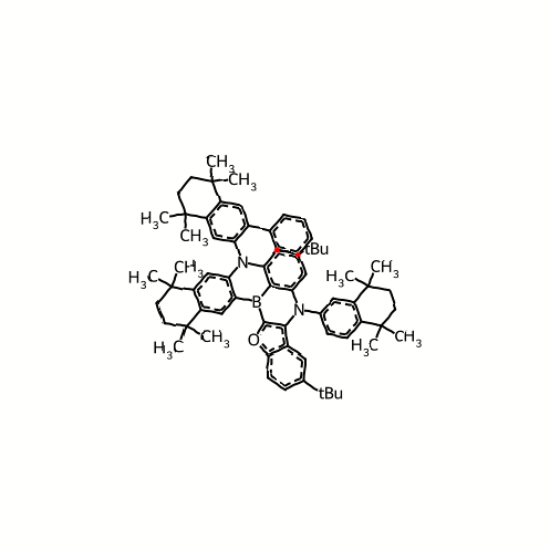 CC(C)(C)c1cc2c3c(c1)N(c1ccc4c(c1)C(C)(C)CCC4(C)C)c1c(oc4ccc(C(C)(C)C)cc14)B3c1cc3c(cc1N2c1cc2c(cc1-c1ccccc1)C(C)(C)CCC2(C)C)C(C)(C)CCC3(C)C